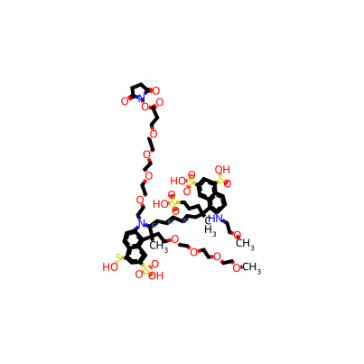 COCCNc1ccc2c(S(=O)O)cc(S(=O)(=O)O)cc2c1C(C)(C/C=C/C=C/C=C1/N(CCOCCOCCOCCOCCC(=O)ON2C(=O)CCC2=O)c2ccc3c(SO)cc(S(=O)(=O)O)cc3c2C1(C)CCOCCOCCOCCOC)CCCS(=O)(=O)O